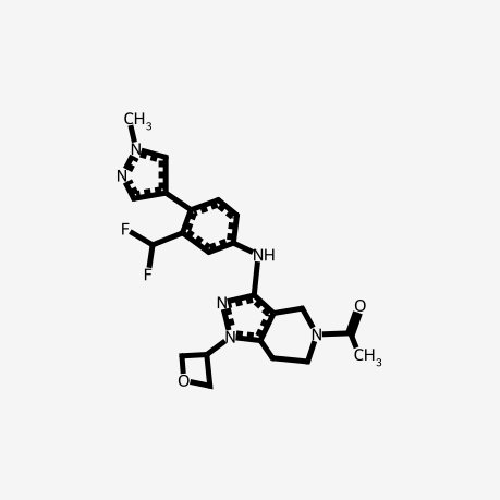 CC(=O)N1CCc2c(c(Nc3ccc(-c4cnn(C)c4)c(C(F)F)c3)nn2C2COC2)C1